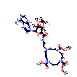 CC(C)(C)OC(=O)N1CCN(CCNC(=O)C2OC(n3cnc4c(N)ncnc43)[C@@H]3OC(C)(C)O[C@H]23)CCN(C(=O)OC(C)(C)C)CCN(C(=O)OC(C)(C)C)CC1